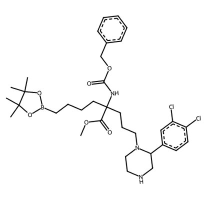 COC(=O)C(CCCCB1OC(C)(C)C(C)(C)O1)(CCCN1CCNCC1c1ccc(Cl)c(Cl)c1)NC(=O)OCc1ccccc1